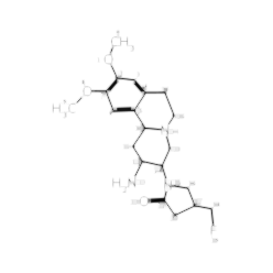 COc1cc2c(cc1OC)C1CC(N)C(N3CC(CF)CC3=O)CN1CC2